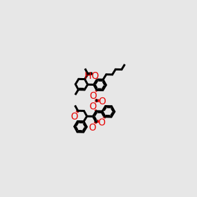 C=C(C)C1CCC(C)=CC1c1c(OC(=O)Oc2c(C(CC(C)=O)c3ccccc3)c(=O)oc3ccccc23)ccc(CCCCC)c1O